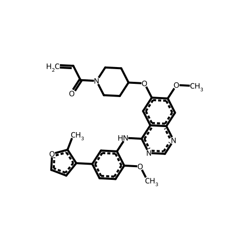 C=CC(=O)N1CCC(Oc2cc3c(Nc4cc(-c5ccoc5C)ccc4OC)ncnc3cc2OC)CC1